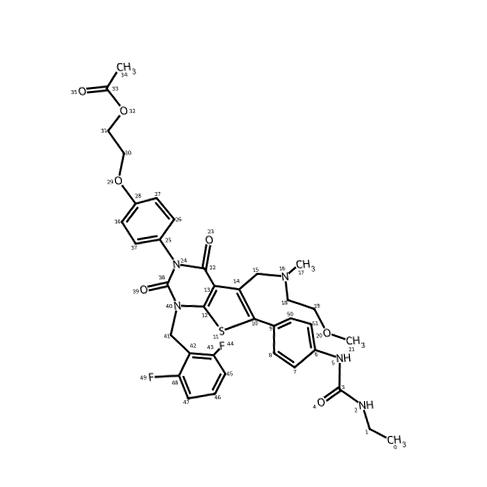 CCNC(=O)Nc1ccc(-c2sc3c(c2CN(C)CCOC)c(=O)n(-c2ccc(OCCOC(C)=O)cc2)c(=O)n3Cc2c(F)cccc2F)cc1